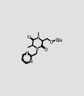 CC1C(=O)N(C)C(COC(C)(C)C)C(=O)N1Cc1ncccn1